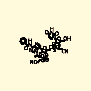 C=CCOP(=O)(OCCC#N)OC1C(COP(=S)(OCCC#N)OC2C(F)C(CO)OC2n2ccc(=O)[nH]c2=O)OC(n2cnc3c(NC(=O)c4ccccc4)ncnc32)C1F